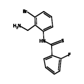 NCc1c(Br)cccc1NC(=S)c1ccccc1F